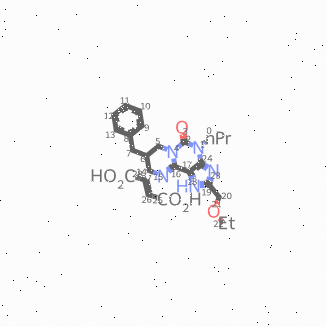 CCCN1C(=O)N2CC(Cc3ccccc3)CN=C2c2[nH]c(COCC)nc21.O=C(O)/C=C/C(=O)O